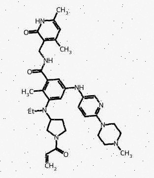 C=CC(=O)N1CCC(N(CC)c2cc(Nc3ccc(N4CCN(C)CC4)nc3)cc(C(=O)NCc3c(C)cc(C)[nH]c3=O)c2C)C1